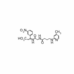 Cc1ccnc(NCCCC(=O)NCC(=O)N[C@@H](CC(=O)O)c2cccc([N+](=O)[O-])c2)c1